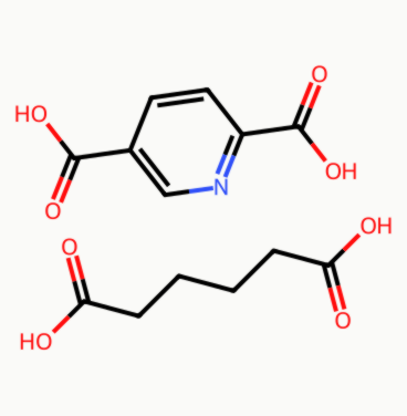 O=C(O)CCCCC(=O)O.O=C(O)c1ccc(C(=O)O)nc1